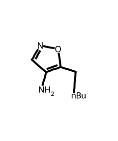 CCCCCc1oncc1N